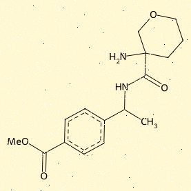 COC(=O)c1ccc(C(C)NC(=O)C2(N)CCCOC2)cc1